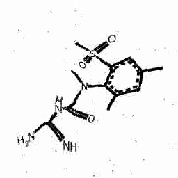 Cc1cc(C)c(N(C)C(=O)NC(=N)N)c(S(C)(=O)=O)c1